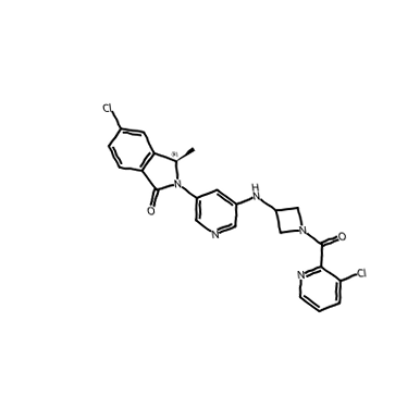 C[C@@H]1c2cc(Cl)ccc2C(=O)N1c1cncc(NC2CN(C(=O)c3ncccc3Cl)C2)c1